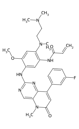 C=CC(=O)Nc1cc(Nc2ncc3c(n2)c(-c2cccc(F)c2)cc(=O)n3C)c(OC)cc1N(C)CCN(C)C